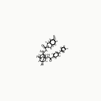 O=C(NC12C[C@@H]3C[C@@H](CC(NCC(=O)N4Cc5ccc(F)cc5C4)(C3)C1)C2)c1ccc(-c2cccs2)nc1